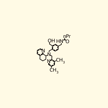 CCCC(=O)NCc1ccc(CN(Cc2ncc(C)cc2C)C2CCCc3cccnc32)c(CO)c1